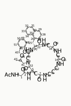 CC(=O)NCC(=O)N[C@H]1CC(=O)NCCCNC(=O)CNC(=O)CNC(=O)[C@@H](Cc2cccc3ccccc23)NC(=O)CN(CC(C)OCc2ccccc2)C1=O